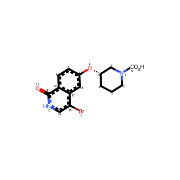 O=C(O)N1CCC[C@H](Oc2ccc3c(=O)[nH]cc(Br)c3c2)C1